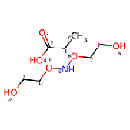 CCC(=O)O.OCCONOCCO